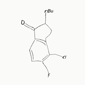 CCCCC1Cc2c(ccc(F)c2Cl)C1=O